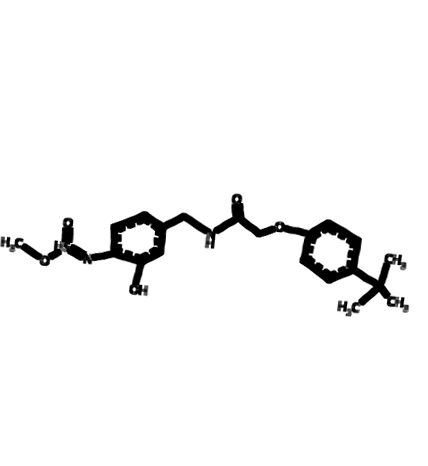 CO[SH](=O)=Nc1ccc(CNC(=O)COc2ccc(C(C)(C)C)cc2)cc1O